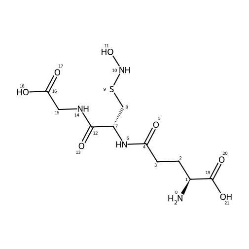 N[C@@H](CCC(=O)N[C@@H](CSNO)C(=O)NCC(=O)O)C(=O)O